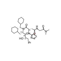 CC(C)C[C@H](O)[C@H](O)[C@H](CC1CCCCC1)N(CC1CCCCC1)C(=O)[C@H](CC(=O)NCC(=O)N(C)C)Cc1cscn1